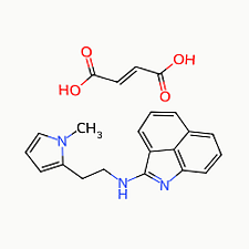 Cn1cccc1CCNC1=Nc2cccc3cccc1c23.O=C(O)C=CC(=O)O